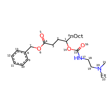 CCCCCCCCC(CCC(=O)OCc1ccccc1)OC(=O)NCCN(C)CC